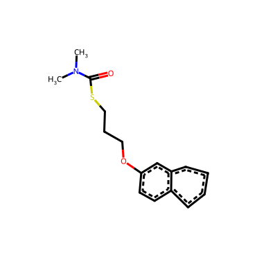 CN(C)C(=O)SCCCOc1ccc2ccccc2c1